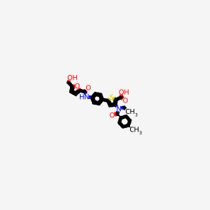 CCN(c1cc(-c2ccc(NC(=O)c3ccc(CO)o3)cc2)sc1C(=O)O)C(=O)[C@H]1CC[C@H](C)CC1